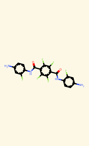 Nc1ccc(NC(=O)c2c(F)c(F)c(C(=O)Nc3ccc(N)cc3F)c(F)c2F)c(F)c1